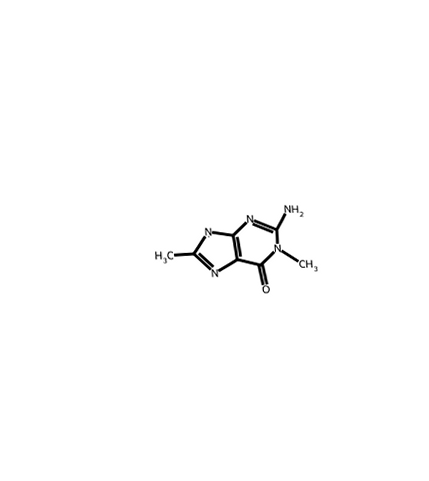 CC1=Nc2c(nc(N)n(C)c2=O)[N]1